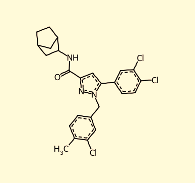 Cc1ccc(Cn2nc(C(=O)NC3CC4CCC3C4)cc2-c2ccc(Cl)c(Cl)c2)cc1Cl